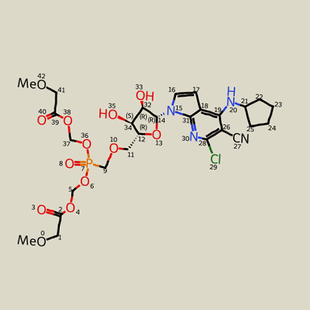 COCC(=O)OCOP(=O)(COC[C@H]1O[C@@H](n2ccc3c(NC4CCCC4)c(C#N)c(Cl)nc32)[C@H](O)[C@@H]1O)OCOC(=O)COC